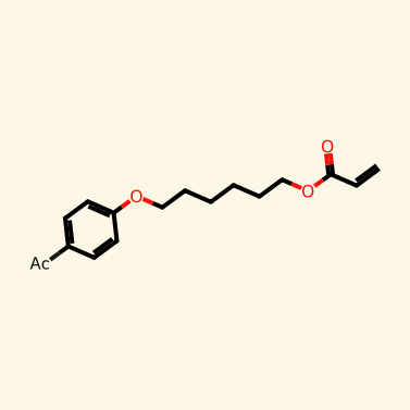 C=CC(=O)OCCCCCCOc1ccc(C(C)=O)cc1